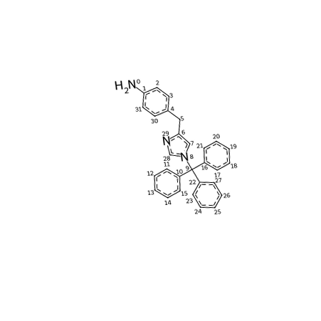 Nc1ccc(Cc2cn(C(c3ccccc3)(c3ccccc3)c3ccccc3)cn2)cc1